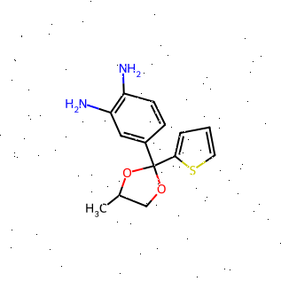 CC1COC(c2ccc(N)c(N)c2)(c2cccs2)O1